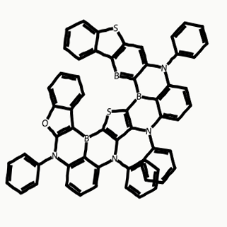 b1c2c(cc3sc4ccccc4c13)N(c1ccccc1)c1cccc3c1B2c1sc2c(c1N3c1ccccc1)N(c1ccccc1)c1cccc3c1B2c1c(oc2ccccc12)N3c1ccccc1